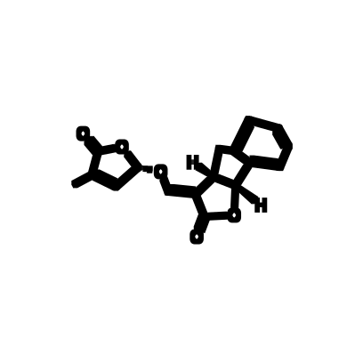 CC1=C[C@@H](O/C=C2/C(=O)O[C@H]3c4ccccc4C[C@@H]23)OC1=O